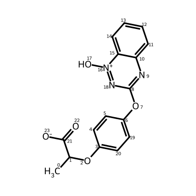 CC(Oc1ccc(Oc2nc3ccccc3[n+](O)n2)cc1)C(=O)[O-]